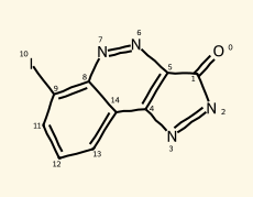 O=C1N=Nc2c1nnc1c(I)cccc21